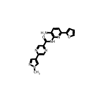 Cn1cc(-c2cnc(C(=O)Nc3nc(-c4ccco4)ccc3N)cn2)cn1